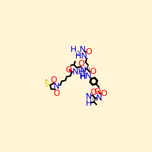 CNC(=O)[C@H](C(C)C)N(C)C(=O)OCc1ccc(NC(=O)[C@H](CCCNC(N)=O)NC(=O)C(NC(=O)CCCCCN2C(=O)CC(SC)C2=O)C(C)C)cc1